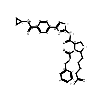 O=C(O)CCCCC1SCC(C(=O)Nc2nc(-c3ccc(C(=O)NC4CC4)cc3)cs2)N1C(=O)OCc1ccccc1